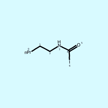 CCCCCNC(=O)I